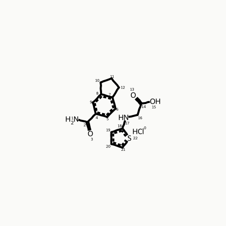 Cl.NC(=O)c1ccc2c(c1)CCC2.O=C(O)CNc1cccs1